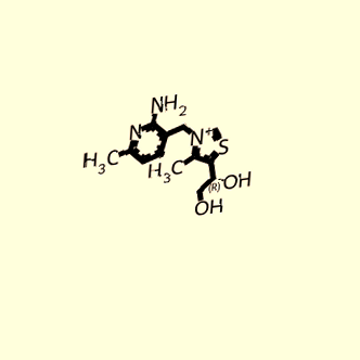 Cc1ccc(C[n+]2csc([C@H](O)CO)c2C)c(N)n1